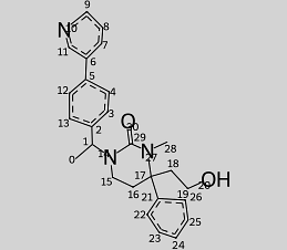 CC(c1ccc(-c2cccnc2)cc1)N1CCC(CCO)(c2ccccc2)N(C)C1=O